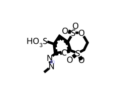 C/N=N/c1cc2c(cc1S(=O)(=O)O)S(=O)(=O)OCCS2(=O)=O